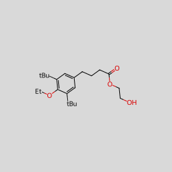 CCOc1c(C(C)(C)C)cc(CCCC(=O)OCCO)cc1C(C)(C)C